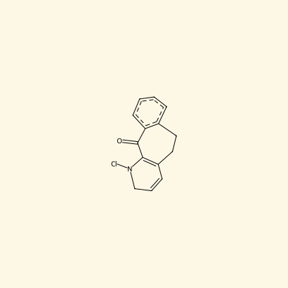 O=C1C2=C(C=CCN2Cl)CCc2ccccc21